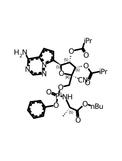 CCCCOC(=O)[C@H](C)N[P@@](=O)(OC[C@@]1(C#N)O[C@@H](c2ccc3c(N)ncnn23)[C@H](OC(=O)C(C)C)[C@@H]1OC(=O)C(C)C)Oc1ccccc1